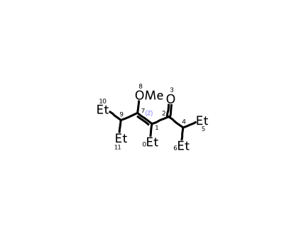 CC/C(C(=O)C(CC)CC)=C(/OC)C(CC)CC